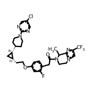 CC1c2nc(C(F)(F)F)cn2CCN1C(=O)Cc1ccc(OCC[C@@H]2C[C@@H]2C2CCN(c3ncc(Cl)cn3)CC2)cc1F